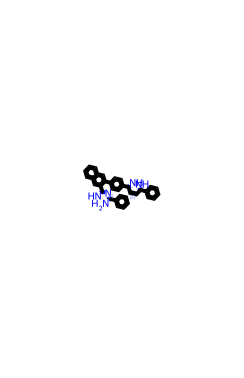 N=C(/C=C\C(=N)c1ccc(-c2cc3ccccc3cc2C(=N)/N=C(\N)c2ccccc2)cc1)c1ccccc1